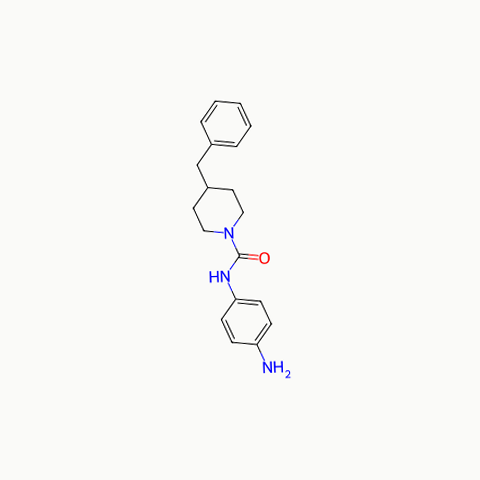 Nc1ccc(NC(=O)N2CCC(Cc3ccccc3)CC2)cc1